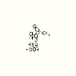 CCC[C@]12CCC(=O)C=C1c1c(cc(OCC(=O)N[C@@H](CO)C(=O)O)c(Cl)c1Cl)C2